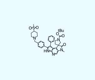 CN1C(=O)C2(CCN(C(=O)OC(C)(C)C)C2)c2c1cnc1[nH]c(-c3ccc(CN4CCC(S(C)(=O)=O)CC4)cc3)c(-c3ccccc3)c21